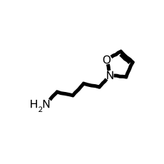 NCCCCN1CC=CO1